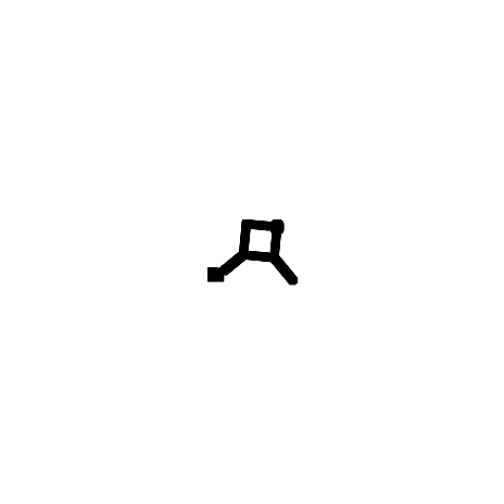 [CH2]CC1COC1C